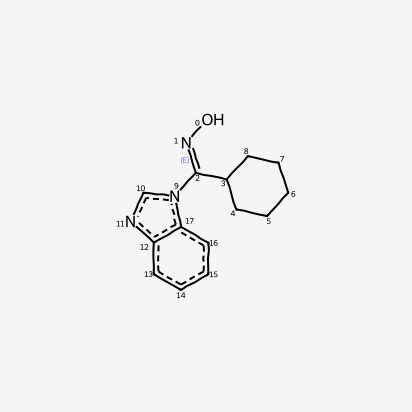 O/N=C(\C1CCCCC1)n1cnc2ccccc21